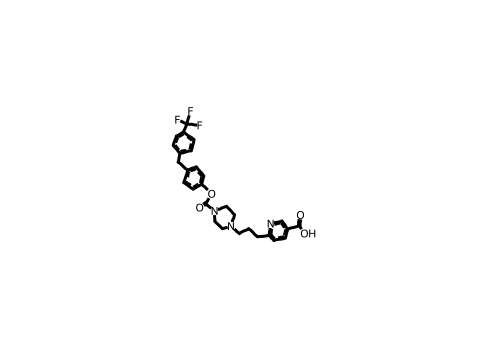 O=C(O)c1ccc(CCCN2CCN(C(=O)Oc3ccc(Cc4ccc(C(F)(F)F)cc4)cc3)CC2)nc1